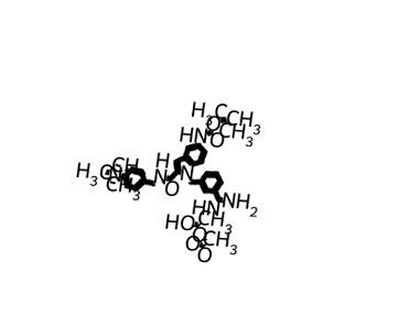 CC(=O)O.CC(=O)[O-].CC(C)(C)OC(=O)Nc1ccc2c(c1)cc(C(=O)NCc1ccc([N+](C)(C)C)cc1)n2Cc1cccc(C(=N)N)c1